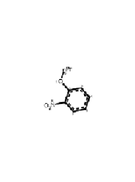 [CH2]CCOc1ccccc1[N+](=O)[O-]